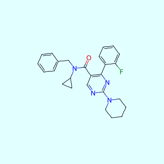 O=C(c1cnc(N2CCCCC2)nc1-c1ccccc1F)N(Cc1ccccc1)C1CC1